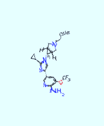 COCCN1C[C@@H]2[C@H](C1)[C@@H]2n1cc(-c2cnc(N)c(OC(F)(F)F)c2)nc1C1CC1